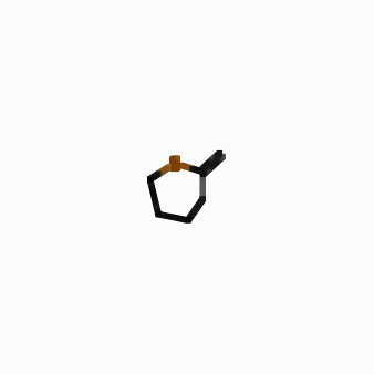 C=C1CCCCS1